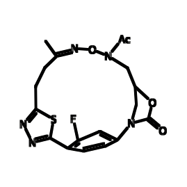 CC(=O)N1CC2CN(C(=O)O2)c2ccc(c(F)c2)-c2nnc(s2)CCC(C)=NO1